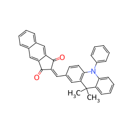 CC1(C)c2ccccc2N(c2ccccc2)c2ccc(C=C3C(=O)c4cc5ccccc5cc4C3=O)cc21